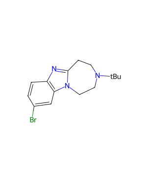 CC(C)(C)N1CCc2nc3ccc(Br)cc3n2CC1